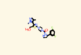 Cc1cnn(C)c1-c1nc(N2CCN(C(=O)N3N=CCC3c3cc(F)cc(F)c3)CC2)sc1CO